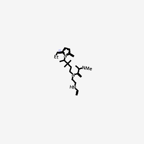 C=CNCCN(CCC(C)(C)C(C)n1c(=C)cc/c1=C/CC)C(=C)C(C)NC